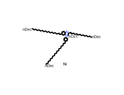 CCCCCCCCCCCCCCCCCCCCCCC=CC(=Nc1ccc(C=CCCCCCCCCCCCCCCCCCCCCCCCCCC)cc1)C(CCCCCCCC)=Nc1ccc(C=CCCCCCCCCCCCCCCCCCCCCCCCCCC)cc1.[Ni]